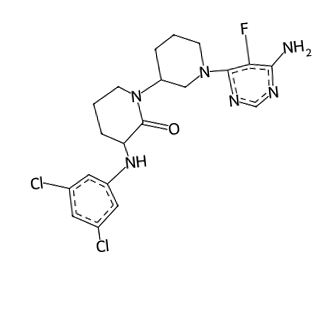 Nc1ncnc(N2CCCC(N3CCCC(Nc4cc(Cl)cc(Cl)c4)C3=O)C2)c1F